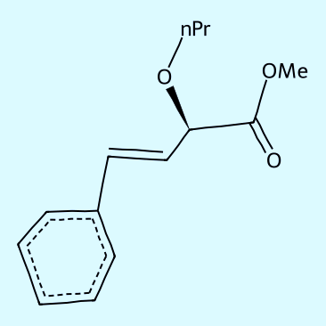 CCCO[C@H](C=Cc1ccccc1)C(=O)OC